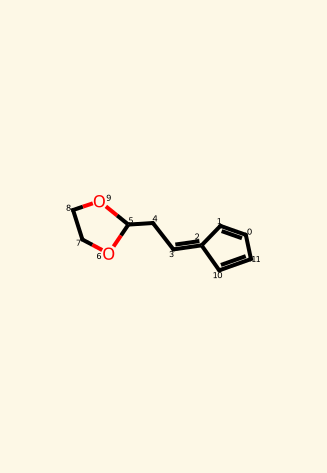 C1=CC(=CCC2OCCO2)C=C1